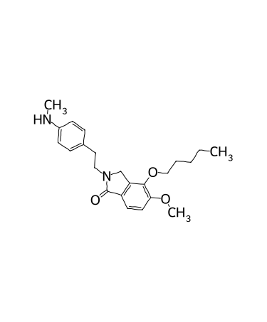 CCCCCOc1c(OC)ccc2c1CN(CCc1ccc(NC)cc1)C2=O